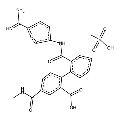 CNC(=O)c1ccc(-c2ccccc2C(=O)Nc2ccc(C(=N)N)cc2)c(C(=O)O)c1.CS(=O)(=O)O